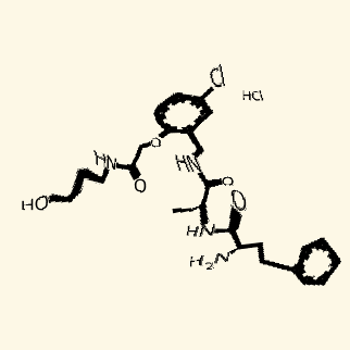 C[C@H](NC(=O)[C@H](N)CCc1ccccc1)C(=O)NCc1cc(Cl)ccc1OCC(=O)NCCCO.Cl